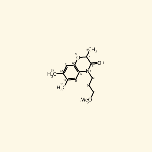 COCCCN1C(=O)C(C)Oc2cc(C)c(C)cc21